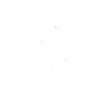 COc1cc(N)c(C=O)c(C2CC2)n1